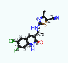 Cc1nc(N[C@@H](C)c2cc3cc(Cl)c(F)cc3[nH]c2=O)sc1C#N